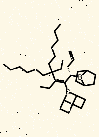 C=CC[C@H](B1C2CCC1CC2)/C(B1C2CCC23CCC13)=C(/CC)C(CC)(CCCCCC)CCCCCC